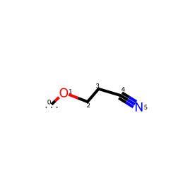 [C]OCCC#N